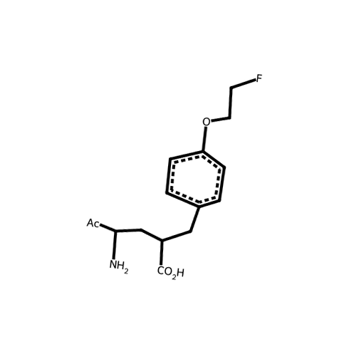 CC(=O)C(N)CC(Cc1ccc(OCCF)cc1)C(=O)O